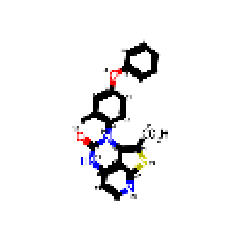 Cc1cc(Oc2ccccc2)ccc1N1C(=O)Nc2ccnc3sc(C(=O)O)c1c23